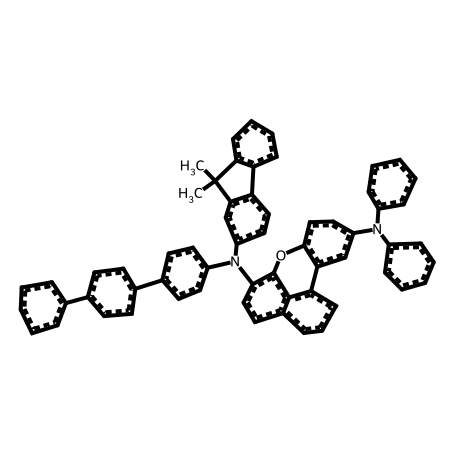 CC1(C)c2ccccc2-c2ccc(N(c3ccc(-c4ccc(-c5ccccc5)cc4)cc3)c3ccc4cccc5c4c3Oc3ccc(N(c4ccccc4)c4ccccc4)cc3-5)cc21